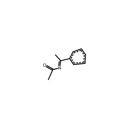 CC(=O)N=C(C)c1ccccc1